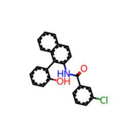 O=C(Nc1ccc2ccccc2c1-c1ccccc1O)c1cccc(Cl)c1